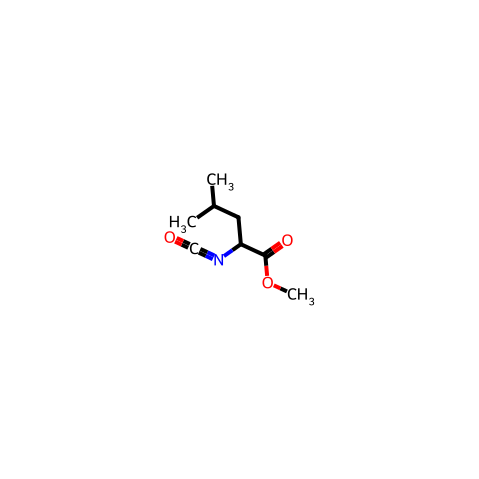 COC(=O)C(CC(C)C)N=C=O